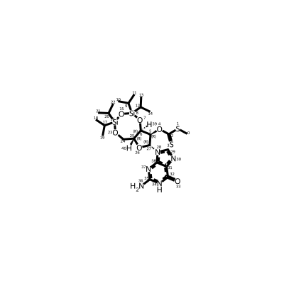 CSC(=S)O[C@@H]1[C@@H]2O[Si](C(C)C)(C(C)C)O[Si](C(C)C)(C(C)C)OC[C@H]2O[C@H]1n1cnc2c(=O)[nH]c(N)nc21